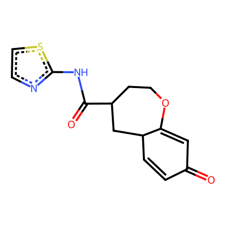 O=C1C=CC2CC(C(=O)Nc3nccs3)CCOC2=C1